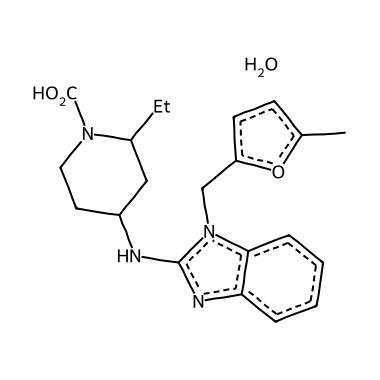 CCC1CC(Nc2nc3ccccc3n2Cc2ccc(C)o2)CCN1C(=O)O.O